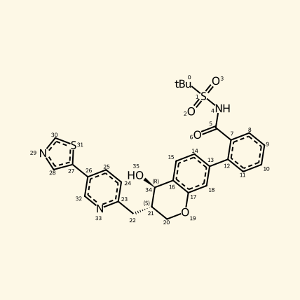 CC(C)(C)S(=O)(=O)NC(=O)c1ccccc1-c1ccc2c(c1)OC[C@H](Cc1ccc(-c3cncs3)cn1)[C@H]2O